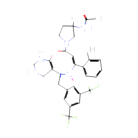 CC(=O)NC1(C)CCN(C2/C=C(/c3ccccc3C)[NH+]([O-])C(Cc3cc(C(F)(F)F)cc(C(F)(F)F)c3)C3=C(NCNC3)O2)C1